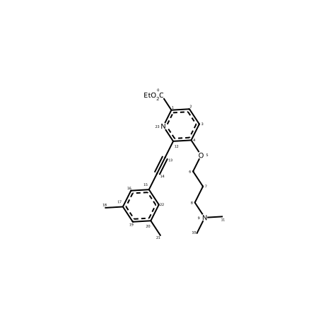 CCOC(=O)c1ccc(OCCCN(C)C)c(C#Cc2cc(C)cc(C)c2)n1